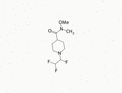 CON(C)C(=O)C1CCN(C(F)C(F)F)CC1